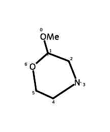 CO[C]1C[N]CCO1